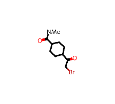 CNC(=O)C1CCC(C(=O)CBr)CC1